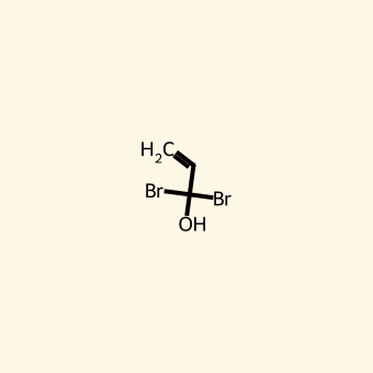 C=CC(O)(Br)Br